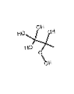 CC(O)(OO)C(O)(O)O